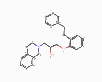 OC(COc1ccccc1CCc1ccccc1)CN1CCc2ccccc2C1